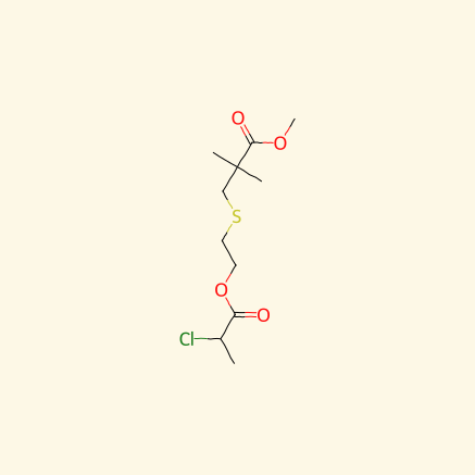 COC(=O)C(C)(C)CSCCOC(=O)C(C)Cl